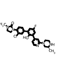 C[C@@H]1CN(c2cc(-c3cc(F)cc(-c4ccc(N5CCN(C)C5=O)c(Cl)c4)c3O)ccn2)CCN1